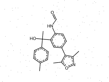 Cc1ccc(C(C)(O)c2cc(-c3c(C)noc3C)ccc2NC=O)cc1